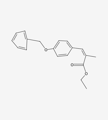 CCOC(=O)C(C)=Cc1ccc(OCc2ccccc2)cc1